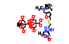 CNC(=C[N+](=O)[O-])NCCSCc1ccc(CN(C)C)o1.O=C([O-])CC(O)(CC(=O)[O-])C(=O)[O-].O=C([O-])CC(O)(CC(=O)[O-])C(=O)[O-].[Bi+3].[Bi+3]